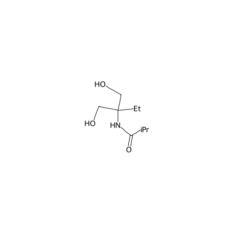 CCC(CO)(CO)NC(=O)C(C)C